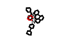 c1ccc(-c2ccc(N(c3ccccc3)c3ccc4cccc5c4c3Oc3c-5cccc3N(c3ccccc3)c3ccccc3)cc2)cc1